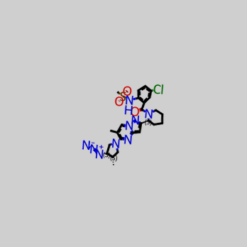 Cc1cn2nc([C@@H]3CCCCN3C(=O)c3cc(Cl)ccc3NS(C)(=O)=O)cc2nc1N1C[C@H](C)[C@H](N=[N+]=[N-])C1